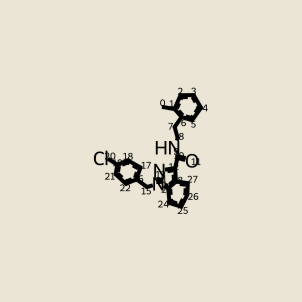 Cc1ccccc1CCNC(=O)c1nn(Cc2ccc(Cl)cc2)c2ccccc12